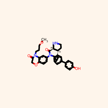 COCCCN1C(=O)COc2ccc(N(C(=O)[C@H]3CNCC[C@@H]3c3cccc(-c4ccc(O)cc4)c3)C3CC3)cc21